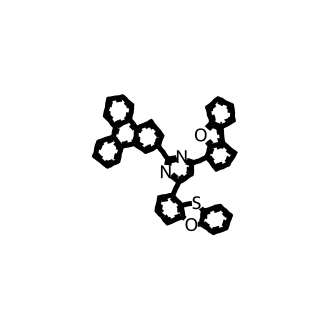 c1ccc2c(c1)Oc1cccc(-c3cc(-c4cccc5c4oc4ccccc45)nc(-c4ccc5c6ccccc6c6ccccc6c5c4)n3)c1S2